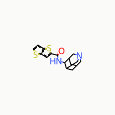 O=C(NC1C2CC3CC1CN(C3)C2)c1cc2sccc2s1